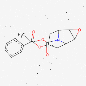 CCOC(=O)N1C2CC(OC(=O)c3ccccc3)CC1C1OC12